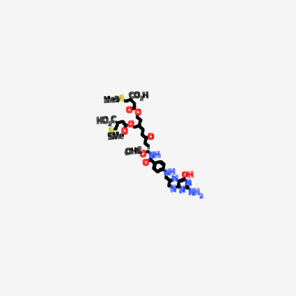 CSSC[C@H](CC(=O)OCCC(CCC(=O)CC[C@H](NC(=O)c1ccc(NCc2cnc3nc(N)nc(O)c3n2)cc1)OC=O)COC(=O)C[C@@H](CSSC)C(=O)O)C(=O)O